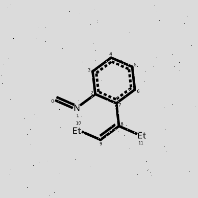 C=Nc1ccccc1/C(=C\CC)CC